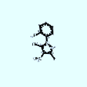 Cc1nn(-c2ccccc2F)c(Cl)c1C=O